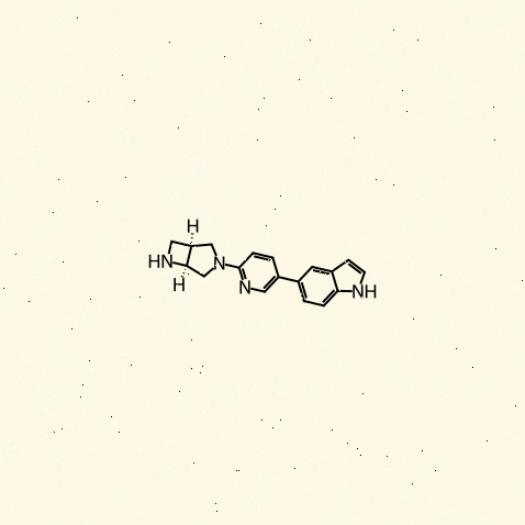 c1cc2cc(-c3ccc(N4C[C@@H]5CN[C@@H]5C4)nc3)ccc2[nH]1